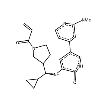 C=CC(=O)N1CCC([C@@H](Nc2cc(-c3ccnc(NC)c3)c[nH]c2=O)C2CC2)C1